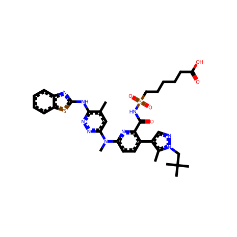 Cc1cc(N(C)c2ccc(-c3cnn(CC(C)(C)C)c3C)c(C(=O)NS(=O)(=O)CCCCCC(=O)O)n2)nnc1Nc1nc2ccccc2s1